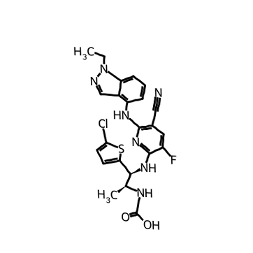 CCn1ncc2c(Nc3nc(N[C@H](c4ccc(Cl)s4)[C@H](C)NC(=O)O)c(F)cc3C#N)cccc21